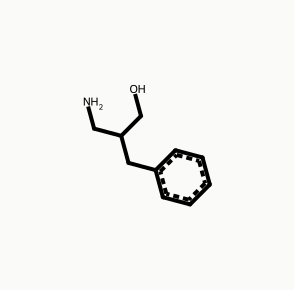 NCC(CO)Cc1ccccc1